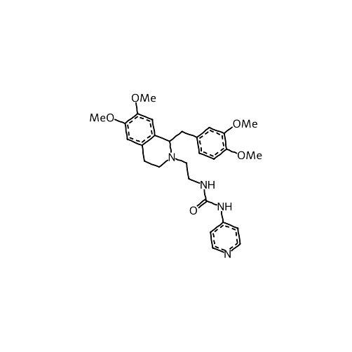 COc1ccc(CC2c3cc(OC)c(OC)cc3CCN2CCNC(=O)Nc2ccncc2)cc1OC